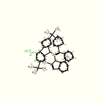 CC1=Cc2cccc(C)c2[CH]1[Zr](=[C](c1ccccc1)c1ccccc1)[CH]1c2cc(C(C)(C)C)ccc2-c2ccc(C(C)(C)C)cc21.Cl.Cl